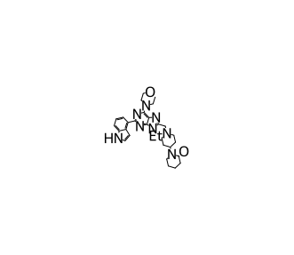 CCn1c(CN2CCC(N3CCCCC3=O)CC2)nc2c(N3CCOCC3)nc(-c3cccc4[nH]ccc34)nc21